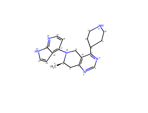 C[C@@H]1Cc2ncnc(C3CCNCC3)c2CN1c1ccnc2[nH]ccc12